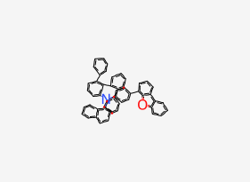 c1ccc(-c2ccccc2-c2c(-c3ccccc3)cccc2N(c2ccc(-c3cccc4c3oc3ccccc34)cc2)c2cccc3ccccc23)cc1